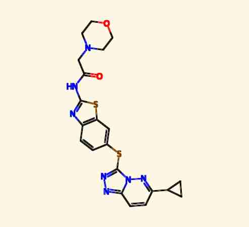 O=C(CN1CCOCC1)Nc1nc2ccc(Sc3nnc4ccc(C5CC5)nn34)cc2s1